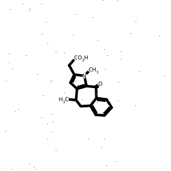 CC1Cc2ccccc2C(=O)c2c1cc(CC(=O)O)n2C